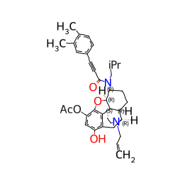 C=CCN1CC[C@]23c4c5c(O)cc(OC(C)=O)c4O[C@H]2[C@H](N(CC(C)C)C(=O)C#Cc2ccc(C)c(C)c2)CC[C@H]3[C@H]1C5